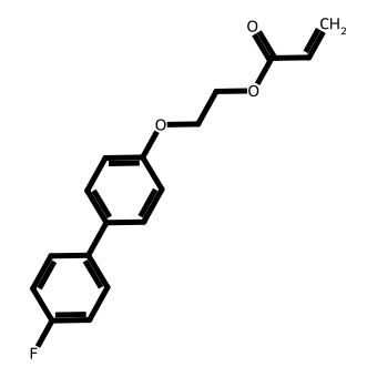 C=CC(=O)OCCOc1ccc(-c2ccc(F)cc2)cc1